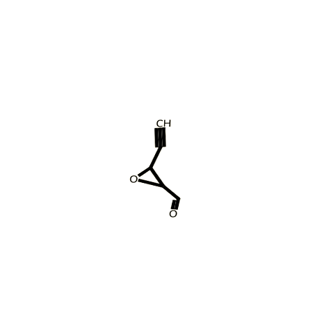 C#CC1OC1C=O